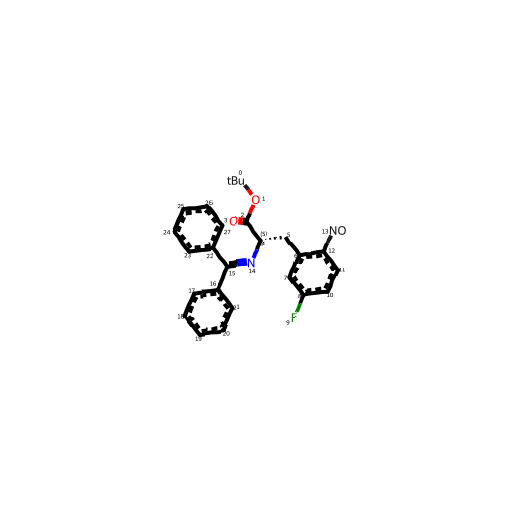 CC(C)(C)OC(=O)[C@H](Cc1cc(F)ccc1N=O)N=C(c1ccccc1)c1ccccc1